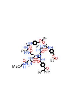 CCCC(CC(C)C)C(=O)c1ccc(C(=O)N[C@@H](CCC(=O)N[C@H](C(=O)N[C@@H](C)C(=O)Nc2ccc(COC(=O)CC)cc2)C(C)C)C(=O)N[C@@H](CCC(=O)N[C@H](C(=O)N[C@@H](C)C(=O)Nc2ccc(COC(=O)C(C)C)cc2)C(C)C)C(=O)N[C@@H](CCC(=O)NCCOC)C(N)=O)cc1